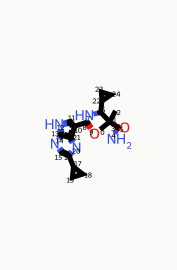 CC(C)(C(N)=O)C(NC(=O)c1c[nH]c2ncc(C3CC3)nc12)C1CC1